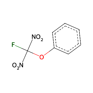 O=[N+]([O-])C(F)(Oc1ccccc1)[N+](=O)[O-]